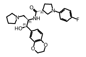 O=C(N[C@H](CN1CCCC1)[C@H](O)c1ccc2c(c1)OCCO2)[C@@H]1CCN(c2ccc(F)cc2)C1